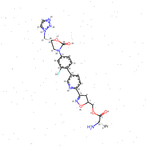 CC(C)[C@H](N)C(=O)OCC1CC(c2ccc(-c3ccc(N4C[C@H](Cn5ccnn5)OC4=O)cc3F)cn2)=NO1